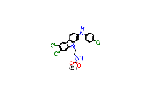 CC(C)(C)OC(=O)NCCn1c2cc(Nc3ccc(Cl)cc3)ccc2c2cc(Cl)c(Cl)cc21